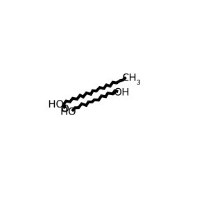 CCCCCCCCCCCCCCCCCCCC(=O)O.OC=CCCCCCCCCCCCO